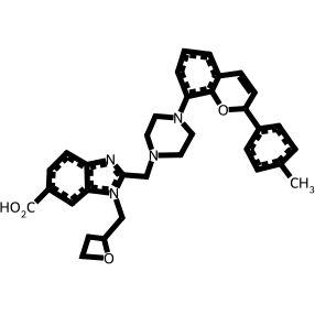 Cc1ccc(C2C=Cc3cccc(N4CCN(Cc5nc6ccc(C(=O)O)cc6n5CC5CCO5)CC4)c3O2)cc1